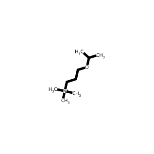 CC(C)OCCC[N+](C)(C)C